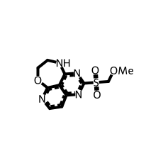 COCS(=O)(=O)c1nc2c3c(nccc3n1)OCCN2